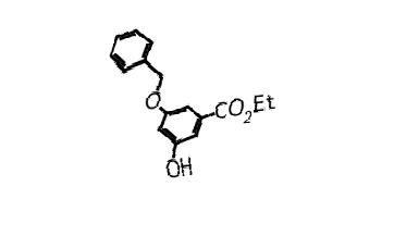 CCOC(=O)c1cc(O)cc(OCc2ccccc2)c1